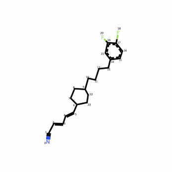 N#CC=CC=CC1CCC(CCCCc2ccc(F)c(F)c2)CC1